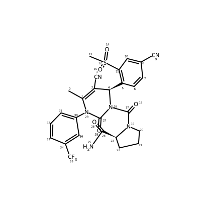 CC1=C(C#N)[C@@H](c2ccc(C#N)cc2S(C)(=O)=O)N(C(=O)N2CCC[C@H]2C(N)=O)C(=O)N1c1cccc(C(F)(F)F)c1